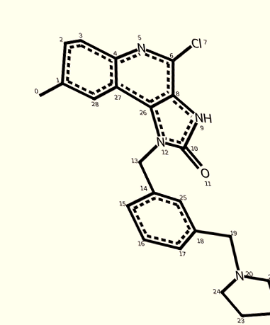 Cc1ccc2nc(Cl)c3[nH]c(=O)n(Cc4cccc(CN5CCCC5)c4)c3c2c1